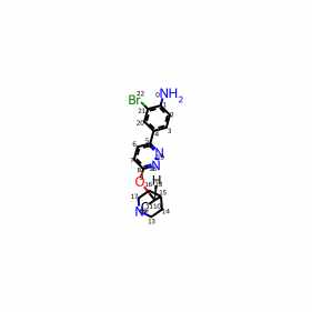 Nc1ccc(-c2ccc(O[C@H]3CN4CCC3CC4)nn2)cc1Br